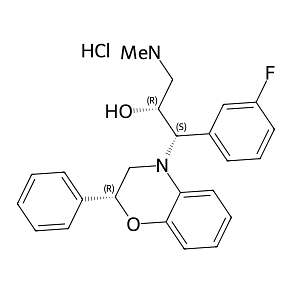 CNC[C@@H](O)[C@H](c1cccc(F)c1)N1C[C@@H](c2ccccc2)Oc2ccccc21.Cl